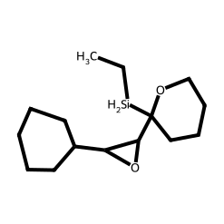 CC[SiH2]C1(C2OC2C2CCCCC2)CCCCO1